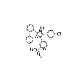 CCn1c(-c2ccccc2-c2ccccc2)nc(-c2ccncc2)c1-c1ccc(Cl)cc1.CO